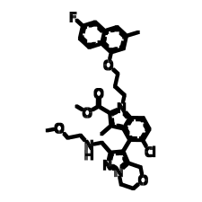 COCCNCc1nn2c(c1-c1c(Cl)ccc3c1c(C)c(C(=O)OC)n3CCCOc1cc(C)cc3cc(F)ccc13)COCC2